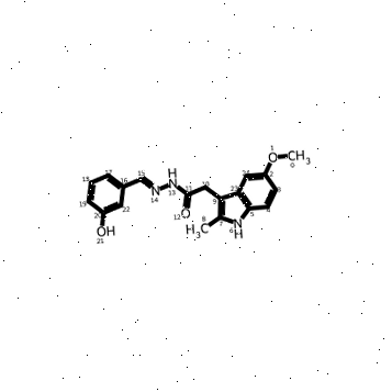 COc1ccc2[nH]c(C)c(CC(=O)NN=Cc3cccc(O)c3)c2c1